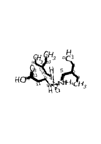 CCC(CC)CNP(=O)(NCCC(=O)O)NCC(CC)CC